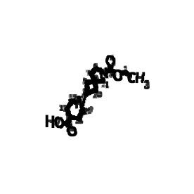 CCOC(=O)N1CCC2(CC(N3CCC(C(=O)O)CC3)C2)C1